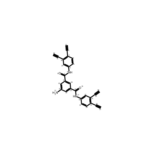 C#Cc1ccc(NC(=O)c2cc(N)cc(C(=O)Nc3ccc(C#C)c(C#C)c3)c2)cc1C#C